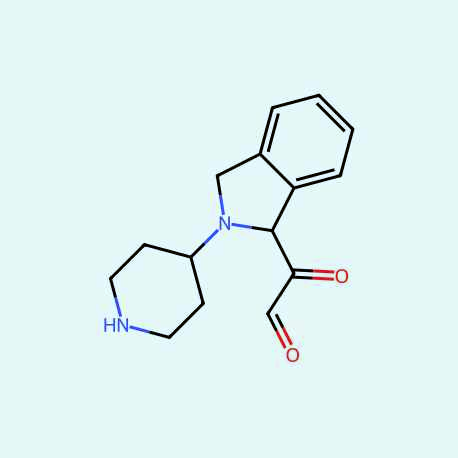 O=CC(=O)C1c2ccccc2CN1C1CCNCC1